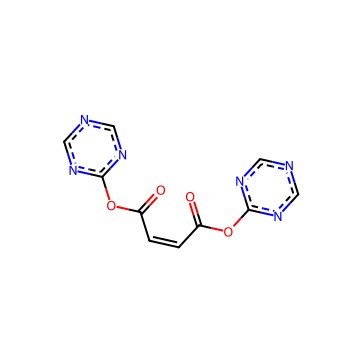 O=C(/C=C\C(=O)Oc1ncncn1)Oc1ncncn1